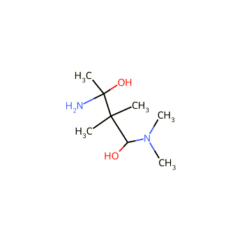 CN(C)C(O)C(C)(C)C(C)(N)O